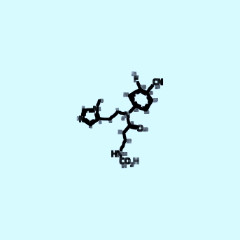 Cn1cncc1CCN(C(=O)CCNC(=O)O)c1ccc(C#N)c(F)c1